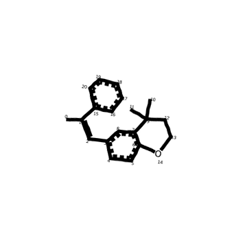 CC(=Cc1ccc2c(c1)C(C)(C)CCO2)c1ccccc1